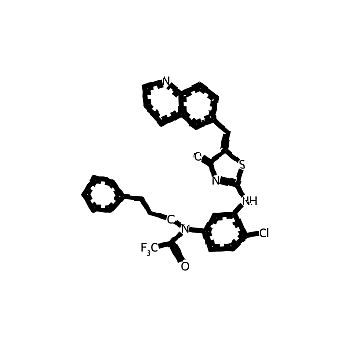 O=C1N=C(Nc2cc(N(CCCc3ccccc3)C(=O)C(F)(F)F)ccc2Cl)SC1=Cc1ccc2ncccc2c1